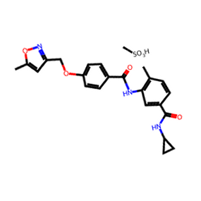 CS(=O)(=O)O.Cc1cc(COc2ccc(C(=O)Nc3cc(C(=O)NC4CC4)ccc3C)cc2)no1